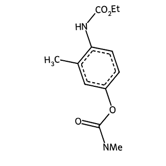 CCOC(=O)Nc1ccc(OC(=O)NC)cc1C